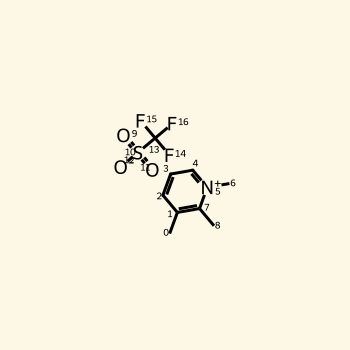 Cc1ccc[n+](C)c1C.O=S(=O)([O-])C(F)(F)F